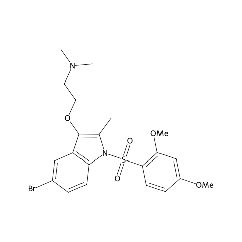 COc1ccc(S(=O)(=O)n2c(C)c(OCCN(C)C)c3cc(Br)ccc32)c(OC)c1